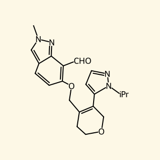 CC(C)n1nccc1C1=C(COc2ccc3cn(C)nc3c2C=O)CCOC1